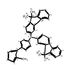 Cc1ccccc1-c1ccc(N(c2ccc3c(c2)-c2ccccc2C3(C)C)c2ccc3c(c2)C(C)(C)c2ccccc2-3)cc1